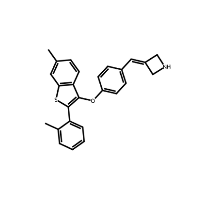 Cc1ccc2c(Oc3ccc(C=C4CNC4)cc3)c(-c3ccccc3C)sc2c1